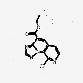 CCOC(=O)c1cc2ccnc(Cl)c2n2ncnc12